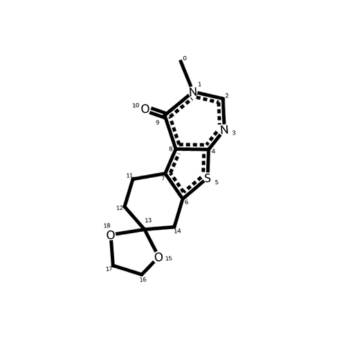 Cn1cnc2sc3c(c2c1=O)CCC1(C3)OCCO1